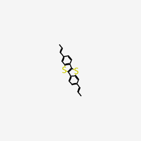 CC=Cc1ccc2c(c1)sc1c3ccc(C=CC)cc3sc21